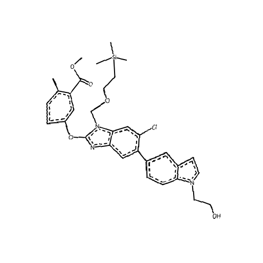 COC(=O)c1cc(Oc2nc3cc(-c4ccc5c(ccn5CCO)c4)c(Cl)cc3n2COCC[Si](C)(C)C)ccc1C